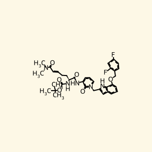 CN(C)C(=O)/C=C/CC[C@H](NC(=O)OC(C)(C)C)C(=O)Nc1cccn(Cc2cc3cccc(OCc4ccc(F)cc4F)c3[nH]2)c1=O